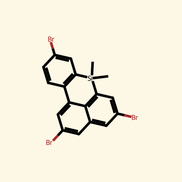 C[Si]1(C)c2cc(Br)ccc2-c2cc(Br)cc3cc(Br)cc1c23